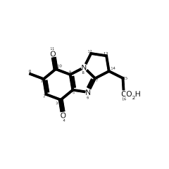 CC1=CC(=O)c2nc3n(c2C1=O)CCC3CC(=O)O